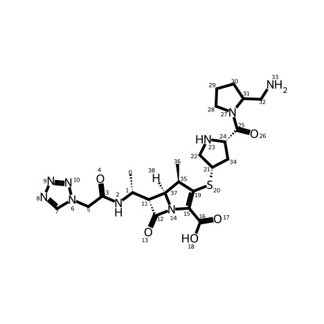 C[C@@H](NC(=O)Cn1cnnn1)[C@H]1C(=O)N2C(C(=O)O)=C(S[C@@H]3CN[C@H](C(=O)N4CCCC4CN)C3)[C@H](C)[C@H]12